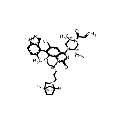 C=CC(=O)N1C[C@H](C)N(c2nc(=O)n3c4c(c(-c5c(C)ccc6[nH]ncc56)c(Cl)cc24)OC[C@H]3CCCN2C[C@@H]3CC[C@@H]2C3)C[C@H]1C